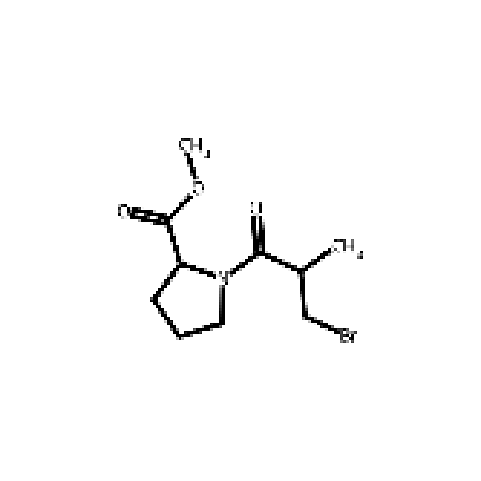 COC(=O)C1CCCN1C(=O)C(C)CBr